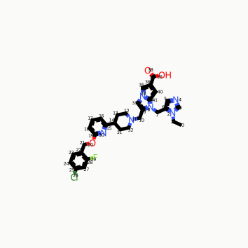 CCn1cncc1Cn1c(CN2CCC(c3cccc(OCc4ccc(Cl)cc4F)n3)CC2)cn2cc(C(=O)O)cc12